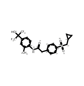 Cc1cc(C(O)(C(F)(F)F)C(F)(F)F)ccc1NC(=O)Cc1ccc(S(=O)(=O)CC2CC2)cc1